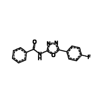 O=C(Nc1nnc(-c2ccc(F)cc2)o1)c1ccccc1